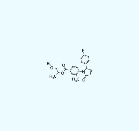 CCOCC(C)OC(=O)c1ccc(N2C(=O)CSC2c2ccc(F)cc2)c(C)c1